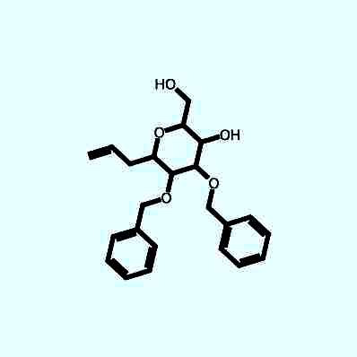 C=CCC1OC(CO)C(O)C(OCc2ccccc2)C1OCc1ccccc1